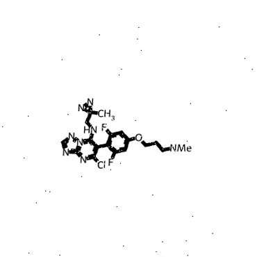 CNCCCOc1cc(F)c(-c2c(Cl)nc3ncnn3c2NCC2(C)N=N2)c(F)c1